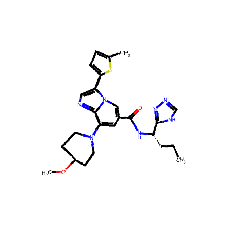 CCC[C@H](NC(=O)c1cc(N2CCC(OC)CC2)c2ncc(-c3ccc(C)s3)n2c1)c1nnc[nH]1